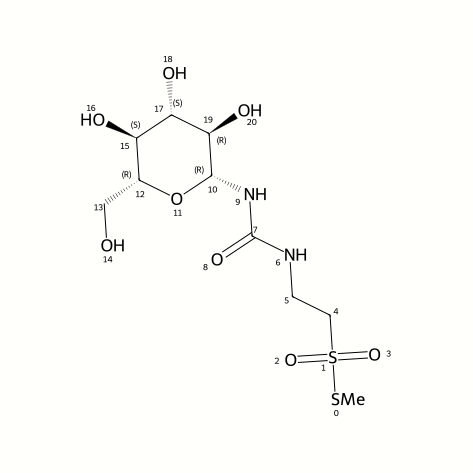 CSS(=O)(=O)CCNC(=O)N[C@@H]1O[C@H](CO)[C@@H](O)[C@H](O)[C@H]1O